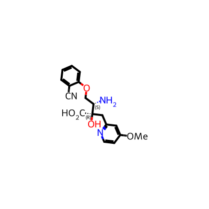 COc1ccnc(C[C@](O)(C(=O)O)[C@@H](N)COc2ccccc2C#N)c1